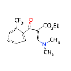 CCOC(=O)C(=CN(C)C)C(=O)c1ccccc1C(F)(F)F